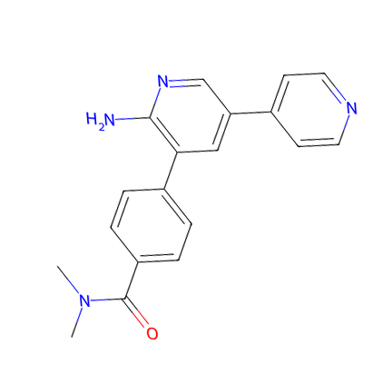 CN(C)C(=O)c1ccc(-c2cc(-c3ccncc3)cnc2N)cc1